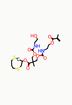 C=C(C)C(=O)OCCNC(=O)OCC(C)(COC(=O)NCCO)C(=O)OC1CSCCCSC1